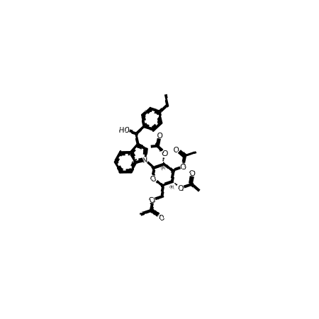 CCc1ccc(C(O)c2cn(C3OC(COC(C)=O)[C@@H](OC(C)=O)C(OC(C)=O)[C@H]3OC(C)=O)c3ccccc23)cc1